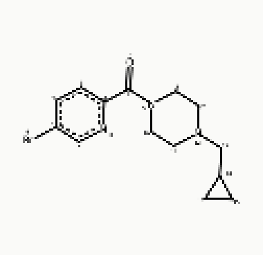 O=C(c1ccc(Br)cn1)N1CCN(CC2CC2)CC1